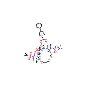 CC(C)(C)OC(=O)N[C@H]1CCCCC/C=C\[C@@H]2C[C@@]2(C(=O)NS(=O)(=O)C2CC2)NC(=O)[C@@H]2C[C@@H](OC(=O)c3ccc(-c4ccccc4)cc3)CN2C1=O